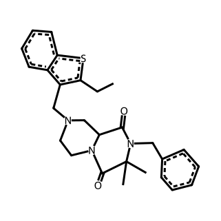 CCc1sc2ccccc2c1CN1CCN2C(=O)C(C)(C)N(Cc3ccccc3)C(=O)C2C1